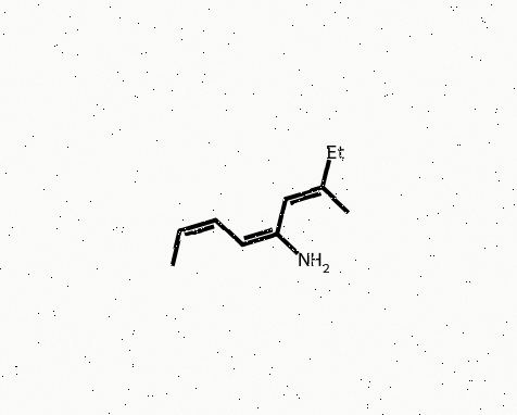 C\C=C/C=C(N)\C=C(/C)CC